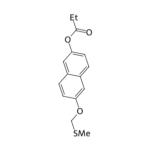 CCC(=O)Oc1ccc2cc(OCSC)ccc2c1